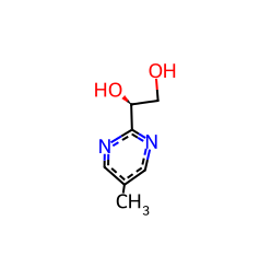 Cc1cnc([C@@H](O)CO)nc1